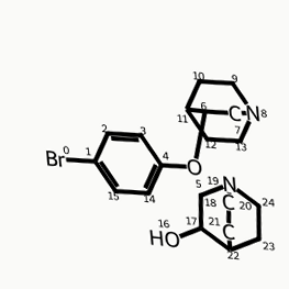 Brc1ccc(OC2CN3CCC2CC3)cc1.OC1CN2CCC1CC2